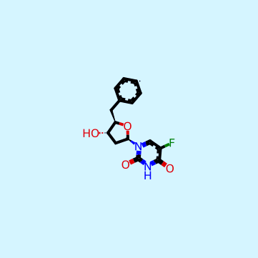 O=c1[nH]c(=O)n([C@H]2C[C@H](O)[C@@H](Cc3cc[c]cc3)O2)cc1F